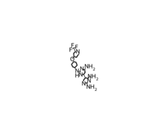 Nc1cc(-c2cnc(N)nc2N)nc(Nc2ccc(Oc3ccnc(C(F)(F)F)c3)cc2)n1